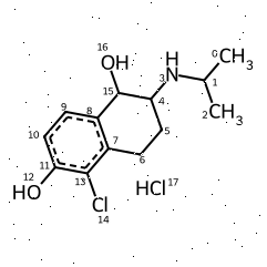 CC(C)NC1CCc2c(ccc(O)c2Cl)C1O.Cl